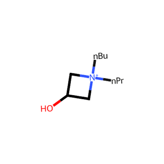 CCCC[N+]1(CCC)CC(O)C1